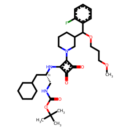 COCCCOC(c1ccccc1F)C1CCCN(c2c(N[C@H](CNC(=O)OC(C)(C)C)CC3CCCCC3)c(=O)c2=O)C1